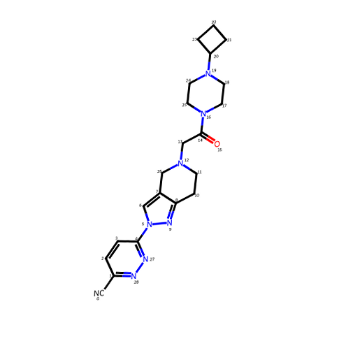 N#Cc1ccc(-n2cc3c(n2)CCN(CC(=O)N2CCN(C4CCC4)CC2)C3)nn1